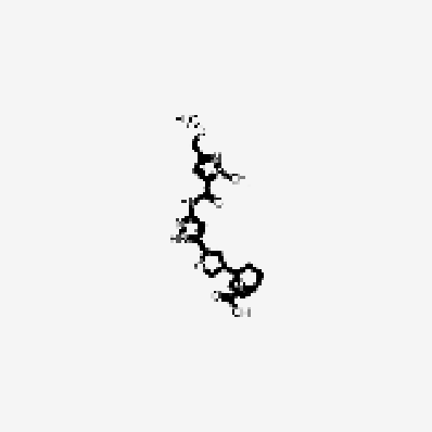 COCc1cc(C(=O)Nc2cc(C3CC(C45CCC(CC4)N5C(=O)O)CO3)[nH]n2)n(C)n1